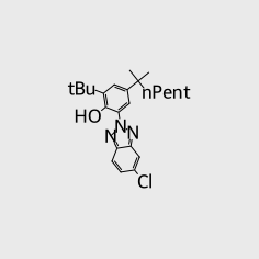 CCCCCC(C)(C)c1cc(-n2nc3ccc(Cl)cc3n2)c(O)c(C(C)(C)C)c1